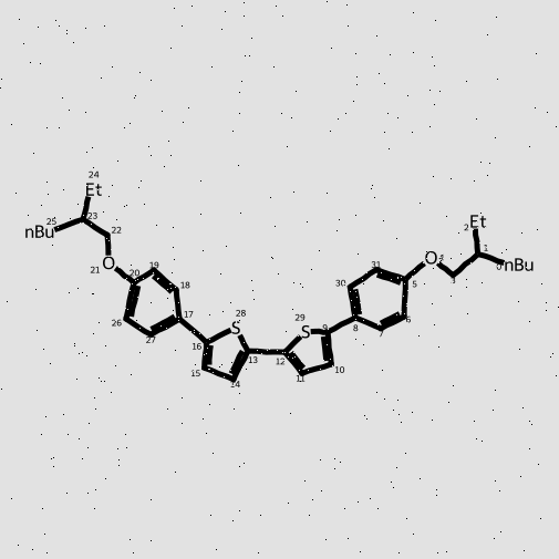 CCCCC(CC)COc1ccc(-c2ccc(-c3ccc(-c4ccc(OCC(CC)CCCC)cc4)s3)s2)cc1